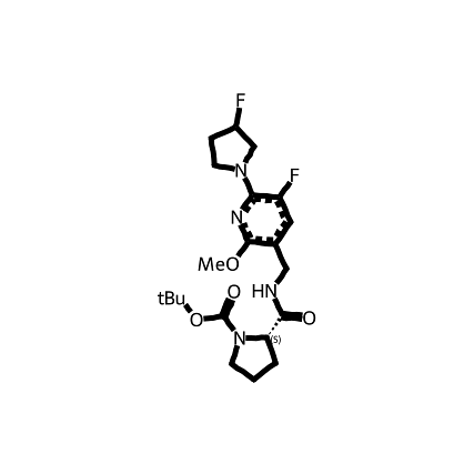 COc1nc(N2CCC(F)C2)c(F)cc1CNC(=O)[C@@H]1CCCN1C(=O)OC(C)(C)C